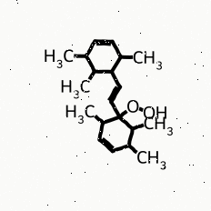 CC1C=CC(C)C(C=CC2(OO)C(C)C=CC(C)C2C)C1C